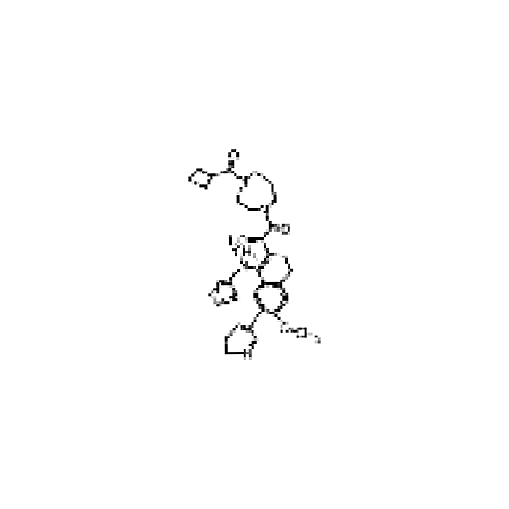 C=C(C(=O)N1CCCN(C(=O)C2CCC2)CC1)C1=C(N(C)c2ccsc2)c2cc(C3=CCCN=C3)c(OC)cc2CC1